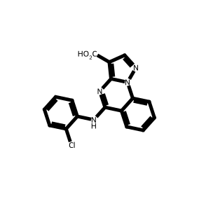 O=C(O)c1cnn2c1nc(Nc1ccccc1Cl)c1ccccc12